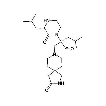 CC(C)C[C@@H]1NCCN([C@](C=O)(CC(C)C)CN2CCC3(CC2)CNC(=O)C3)C1=O